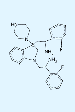 NC(CN1CS(CC(N)c2ccccc2F)(N2CCNCC2)c2ccc[c]c21)c1ccccc1F